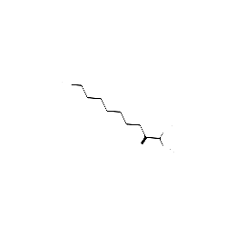 CC(=O)CCCCCCCC(=O)C(C#N)C#N